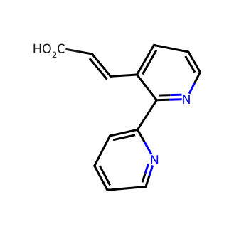 O=C(O)/C=C/c1cccnc1-c1ccccn1